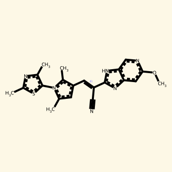 COc1cc2nc(/C(C#N)=C/c3cc(C)n(-c4sc(C)nc4C)c3C)[nH]c2cn1